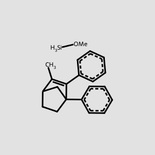 CC1=C(c2ccccc2)C2(c3ccccc3)CCC1C2.CO[SiH3]